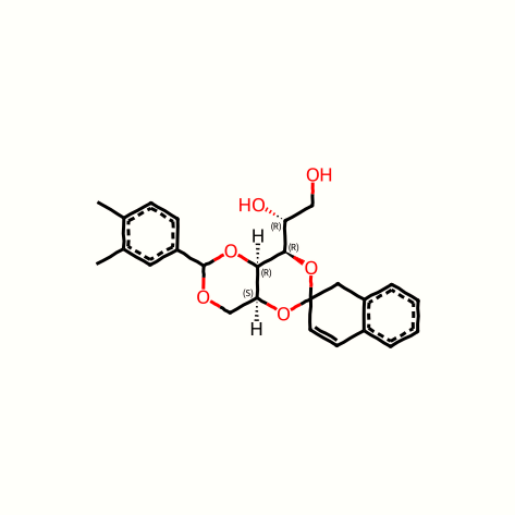 Cc1ccc(C2OC[C@@H]3OC4(C=Cc5ccccc5C4)O[C@H]([C@H](O)CO)[C@@H]3O2)cc1C